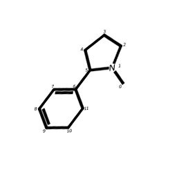 CN1CCCC1C1=CC=CCC1